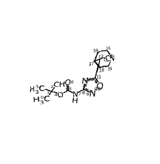 CC(C)(C)OC(=O)Nc1noc(C2CN3CCC2CC3)n1